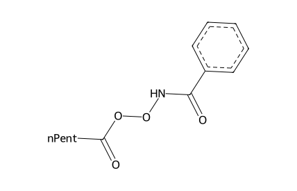 CCCCCC(=O)OONC(=O)c1ccccc1